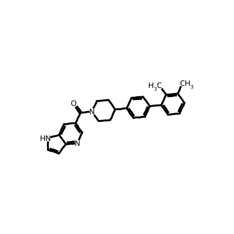 Cc1cccc(-c2ccc(C3CCN(C(=O)c4cnc5cc[nH]c5c4)CC3)cc2)c1C